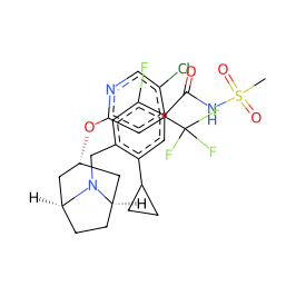 CS(=O)(=O)NC(=O)c1cc(C2CC2)c(CN2[C@@H]3CC[C@H]2C[C@H](Oc2cc(C(F)(F)F)c(Cl)cn2)C3)cc1F